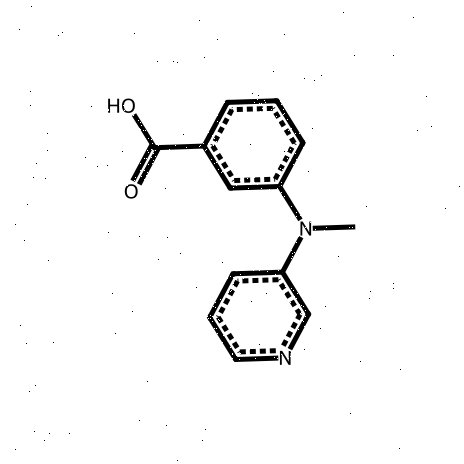 CN(c1cccnc1)c1cccc(C(=O)O)c1